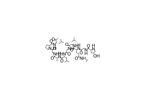 CC(=O)[C@H](CC(C)C)NC(=O)[C@@H]1CCCN1C(=O)CNC(=O)[C@H](C)NC(=O)[C@H](CC(C)C)NC(=O)CNC(=O)[C@H](CC(C)C)NC(=O)[C@H](CCC(N)=O)NC(=O)CNC(=O)[C@@H]1C[C@@H](O)CN1